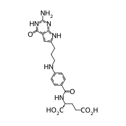 Nc1nc2[nH]c(CCCNc3ccc(C(=O)N[C@@H](CCC(=O)O)C(=O)O)cc3)cc2c(=O)[nH]1